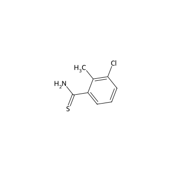 Cc1c(Cl)cccc1C(N)=S